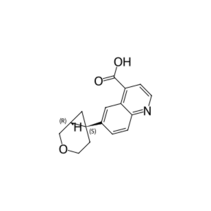 O=C(O)c1ccnc2ccc([C@@]34CCOC[C@@H]3C4)cc12